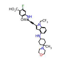 COc1cc(C(=O)O)c(F)cc1NCC#Cc1cc2c(NC3CCC(C)(N4CCOCC4)CC3)cccc2n1CC(F)(F)F